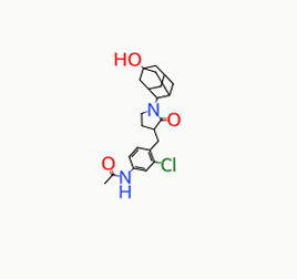 CC(=O)Nc1ccc(CC2CCN(C3C4CC5CC3CC(O)(C5)C4)C2=O)c(Cl)c1